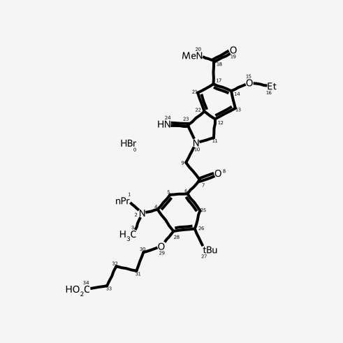 Br.CCCN(C)c1cc(C(=O)CN2Cc3cc(OCC)c(C(=O)NC)cc3C2=N)cc(C(C)(C)C)c1OCCCCC(=O)O